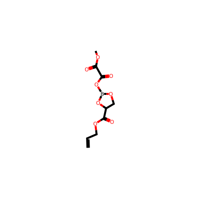 C=CCOC(=O)C1COB(OC(=O)C(=O)OC)O1